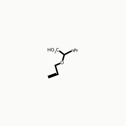 C=CCOC(CCC)C(=O)O